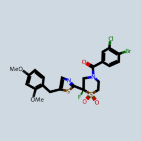 COc1ccc(Cc2cnc([C@]3(F)CN(C(=O)c4ccc(Br)c(Cl)c4)CCS3(=O)=O)s2)c(OC)c1